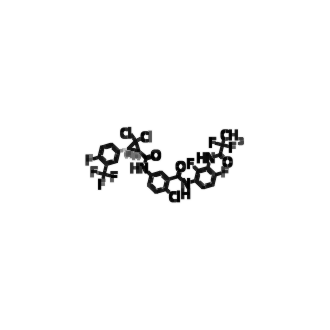 CC(F)(F)C(=O)Nc1c(F)ccc(NC(=O)c2cc(NC(=O)[C@H]3[C@H](c4ccc(F)c(C(F)(F)F)c4)C3(Cl)Cl)ccc2Cl)c1F